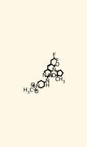 C[C@]1(O)CCC[C@@H]1n1c(=O)c(CC(F)F)cc2cnc(NC3CCN(S(C)(=O)=O)CC3)nc21